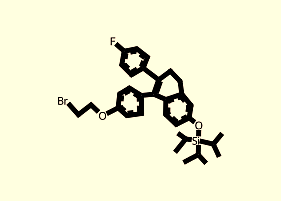 CC(C)[Si](Oc1ccc2c(c1)CCC(c1ccc(F)cc1)=C2c1ccc(OCCBr)cc1)(C(C)C)C(C)C